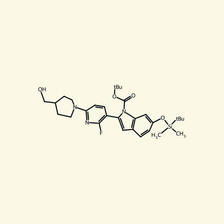 CC(C)(C)OC(=O)n1c(-c2ccc(N3CCC(CO)CC3)nc2F)cc2ccc(O[Si](C)(C)C(C)(C)C)cc21